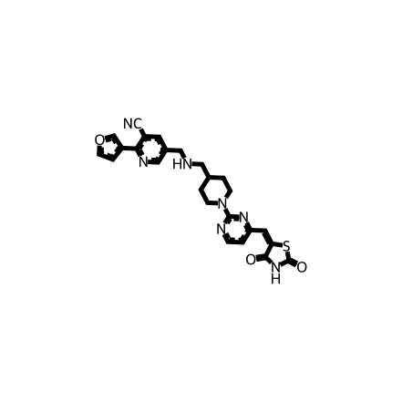 N#Cc1cc(CNCC2CCN(c3nccc(C=C4SC(=O)NC4=O)n3)CC2)cnc1-c1ccoc1